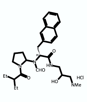 CCC(CC)C(=O)N1CCCC1N(C=O)[C@H](Cc1ccc2ccccc2c1)C(=O)NCC(O)CNC.Cl